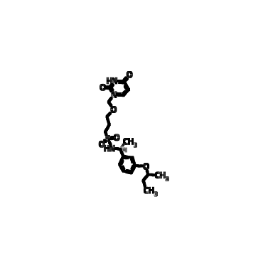 CCC(C)Oc1cccc([C@@H](C)NS(=O)(=O)CCCOCn2ccc(=O)[nH]c2=O)c1